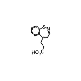 O=C(O)CCC1=CC=NSc2ccccc21